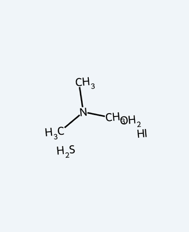 CN(C)C.I.O.S